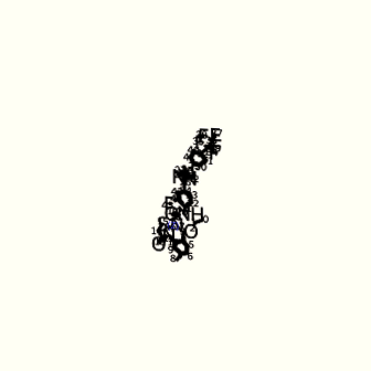 CCOCc1ccc(C)cc1N1C(=O)CS/C1=N\C(=O)Nc1ccc(-c2ncn(-c3ccc(C(F)(F)C(F)(F)F)cc3)n2)cc1F